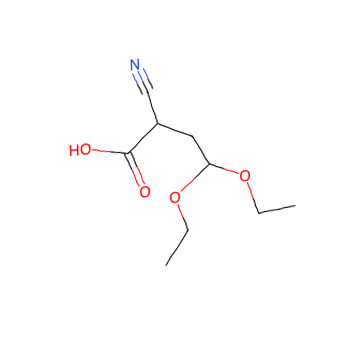 CCOC(CC(C#N)C(=O)O)OCC